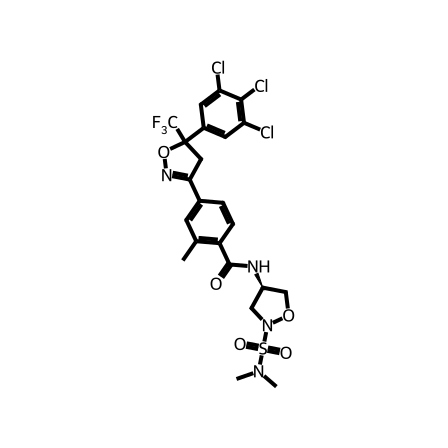 Cc1cc(C2=NOC(c3cc(Cl)c(Cl)c(Cl)c3)(C(F)(F)F)C2)ccc1C(=O)N[C@H]1CON(S(=O)(=O)N(C)C)C1